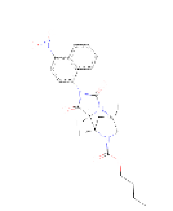 CCCCOC(=O)N1C[C@@H]2C[C@H]1[C@@H]1C(=O)N(c3ccc([N+](=O)[O-])c4ccccc34)C(=O)N21